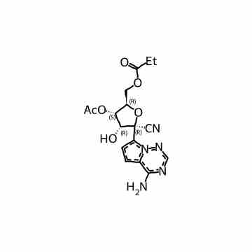 CCC(=O)OC[C@H]1O[C@@](C#N)(c2ccc3c(N)ncnn23)[C@H](O)[C@@H]1OC(C)=O